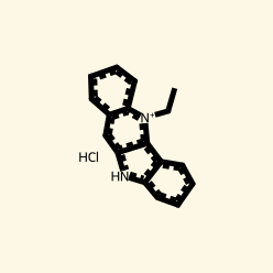 CC[n+]1c2ccccc2cc2[nH]c3ccccc3c21.Cl